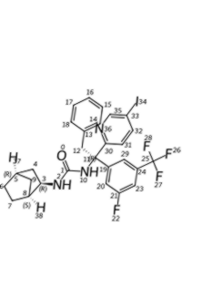 O=C(N[C@@H]1C[C@@H]2CC[C@H]1C2)N[C@](Cc1ccccc1)(c1cc(F)cc(C(F)(F)F)c1)c1ccc(I)cn1